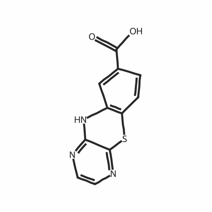 O=C(O)c1ccc2c(c1)Nc1nccnc1S2